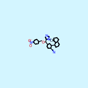 Cn1cncc1C(OCc1ccc([N+](=O)[O-])cc1)c1ccc(C#N)c(-c2cccc3ccccc23)c1